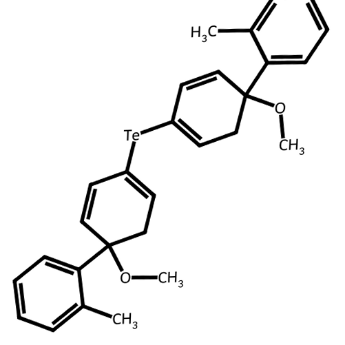 COC1(c2ccccc2C)C=CC([Te]C2=CCC(OC)(c3ccccc3C)C=C2)=CC1